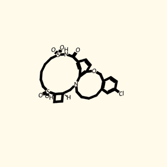 O=C1NS(=O)(=O)CCCCCS(=O)(=O)[C@@H]2CC[C@@H]2CN2CCCCc3cc(Cl)ccc3COc3ccc1cc32